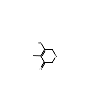 CC1=C(S)CSCC1=O